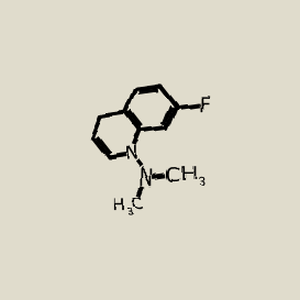 CN(C)N1C=CCc2ccc(F)cc21